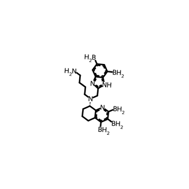 Bc1cc(B)c2[nH]c(CN(CCCCN)[C@H]3CCCc4c3nc(B)c(B)c4B)nc2c1